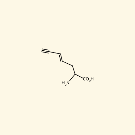 C#CC=CCC(N)C(=O)O